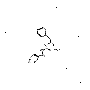 CC(=O)SCC(Cc1ccccc1)NC(=O)NNc1ccccc1